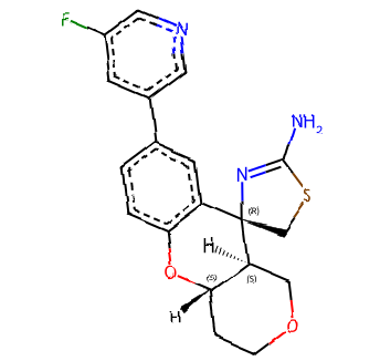 NC1=N[C@@]2(CS1)c1cc(-c3cncc(F)c3)ccc1O[C@H]1CCOC[C@@H]12